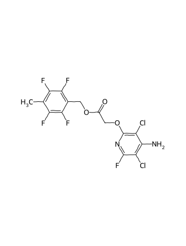 Cc1c(F)c(F)c(COC(=O)COc2nc(F)c(Cl)c(N)c2Cl)c(F)c1F